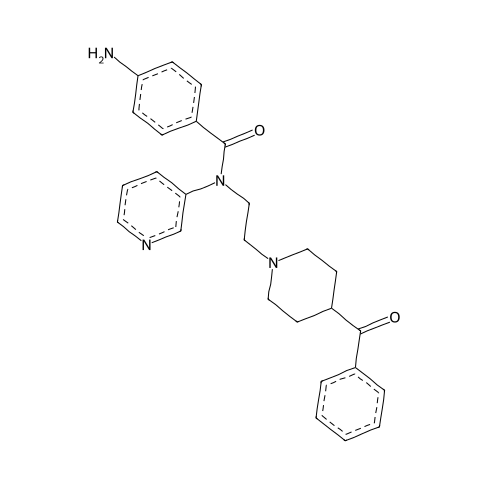 Nc1ccc(C(=O)N(CCN2CCC(C(=O)c3ccccc3)CC2)c2cccnc2)cc1